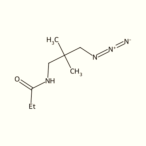 CCC(=O)NCC(C)(C)CN=[N+]=[N-]